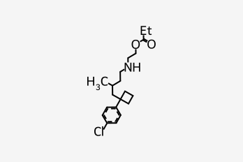 CCC(=O)OCCNCCC(C)CC1(c2ccc(Cl)cc2)CCC1